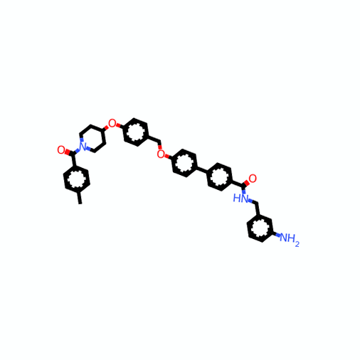 Cc1ccc(C(=O)N2CCC(Oc3ccc(COc4ccc(-c5ccc(C(=O)NCc6cccc(N)c6)cc5)cc4)cc3)CC2)cc1